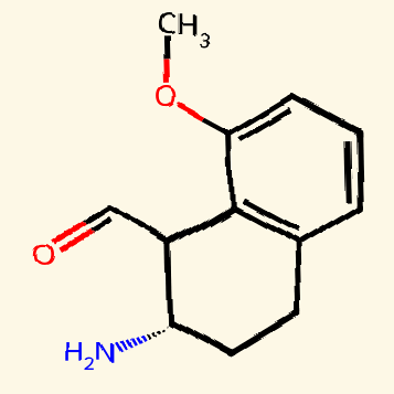 COc1cccc2c1C(C=O)[C@@H](N)CC2